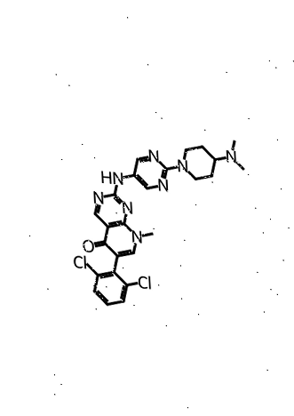 CN(C)C1CCN(c2ncc(Nc3ncc4c(=O)c(-c5c(Cl)cccc5Cl)cn(C)c4n3)cn2)CC1